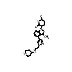 Cc1nn(C2CCC(=O)NC2=O)c2cccc(-c3cnn(CCOC4CCNCC4)c3)c12